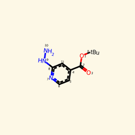 CC(C)(C)OC(=O)c1ccnc(NN)c1